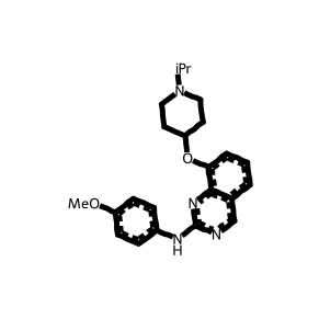 COc1ccc(Nc2ncc3cccc(OC4CCN(C(C)C)CC4)c3n2)cc1